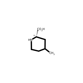 CC1CCN[C@H](C(=O)O)C1